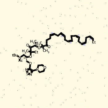 CC/C=C\C/C=C\C/C=C\C/C=C\C/C=C\C/C=C\CCC(=O)C(C)(C)O[C@@H](C)C(=O)C(C)(CC)O[C@H](COc1nsnc1N1CCOCC1)CN(C(C)=O)C(C)(C)C